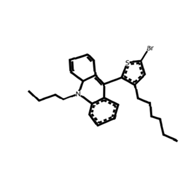 CCCCCCc1cc(Br)sc1C1=C2C=CC=CC2N(CCCC)c2ccccc21